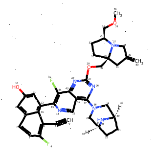 C#Cc1c(F)ccc2cc(O)cc(-c3ncc4c(N5C[C@H]6CC[C@@H](C5)N6)nc(OC[C@@]56CC[C@@H](COC)N5CC(=C)C6)nc4c3F)c12